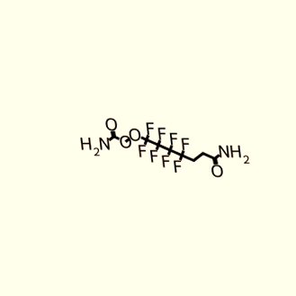 NC(=O)CCC(F)(F)C(F)(F)C(F)(F)C(F)(F)OOC(N)=O